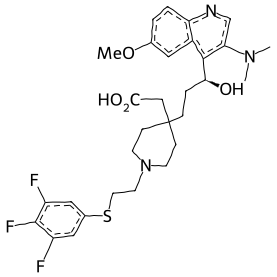 COc1ccc2ncc(N(C)C)c([C@@H](O)CCC3(CC(=O)O)CCN(CCSc4cc(F)c(F)c(F)c4)CC3)c2c1